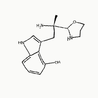 C[C@](N)(Cc1c[nH]c2cccc(O)c12)C1NCCO1